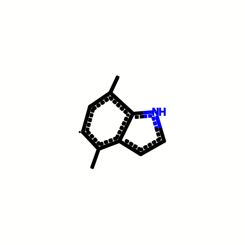 Cc1[c]cc(C)c2[nH]ccc12